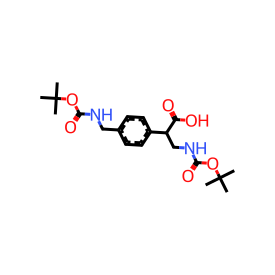 CC(C)(C)OC(=O)NCc1ccc(C(CNC(=O)OC(C)(C)C)C(=O)O)cc1